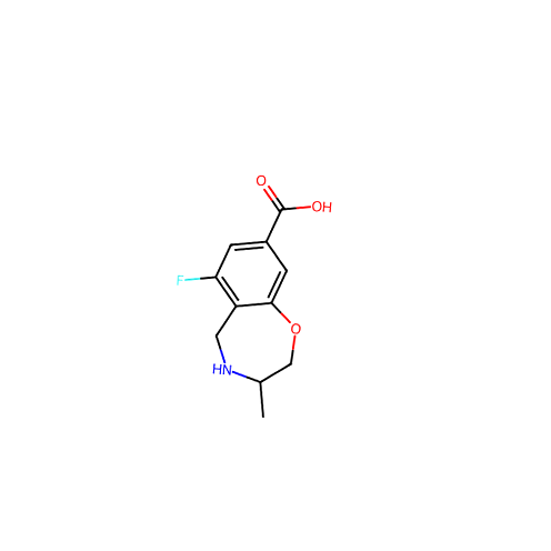 CC1COc2cc(C(=O)O)cc(F)c2CN1